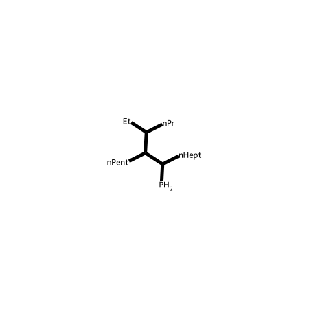 CCCCCCCC(P)C(CCCCC)C(CC)CCC